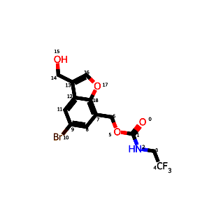 O=C(NCC(F)(F)F)OCc1cc(Br)cc2c(CO)coc12